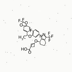 C[C@H](Oc1cc(-n2nc(C(F)(F)F)c3c2[C@H](OC24CC(C(=O)O)(C2)C4)CCC3)ccc1F)c1ccc2c(c1)OC(F)(F)O2